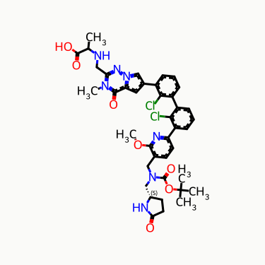 COc1nc(-c2cccc(-c3cccc(-c4cc5c(=O)n(C)c(CNC(C)C(=O)O)nn5c4)c3Cl)c2Cl)ccc1CN(C[C@@H]1CCC(=O)N1)C(=O)OC(C)(C)C